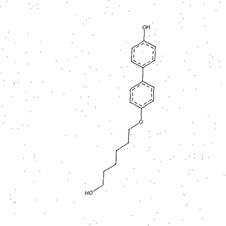 OCCCCCCOc1ccc(-c2ccc(O)cc2)cc1